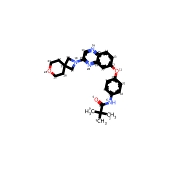 CC(C)(C)C(=O)Nc1ccc(Oc2ccc3ncc(N4CC5(CCOCC5)C4)nc3c2)cc1